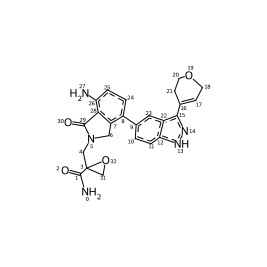 NC(=O)C1(CN2Cc3c(-c4ccc5[nH]nc(C6=CCOCC6)c5c4)ccc(N)c3C2=O)CO1